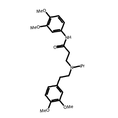 COc1ccc(CCN(CCC(=O)Nc2ccc(OC)c(OC)c2)C(C)C)cc1OC